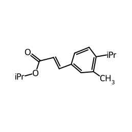 Cc1cc(C=CC(=O)OC(C)C)ccc1C(C)C